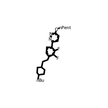 CCCCCOc1ccc(-c2ccc(CCC3CCC(CCCC)CC3)c(F)c2F)nn1